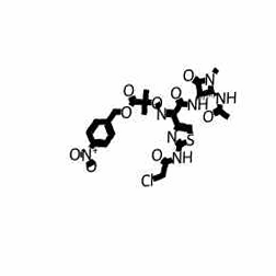 CC(=O)N[C@H]1[C@@H](NC(=O)C(=NOC(C)(C)C(=O)OCc2ccc([N+](=O)[O-])cc2)c2csc(NC(=O)CCl)n2)C(=O)N1C